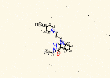 CCCCC1CCN(CCCn2cc(C(=O)NCC(C)C)c3ccccc32)CC1